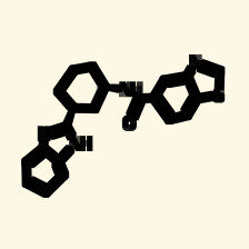 O=C(N[C@@H]1CCC[C@H](c2nc3ccccc3[nH]2)C1)c1ccc2scnc2c1